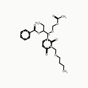 CCCCOCn1c(=O)ccn([C@H](OCOC(C)=O)C(CC)OC(=O)c2ccccc2)c1=O